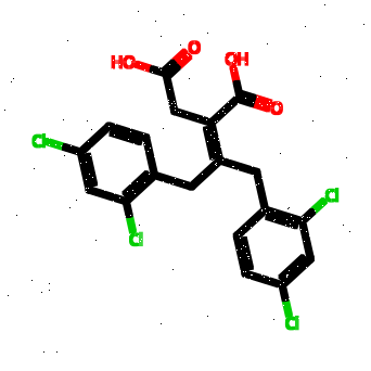 O=C(O)CC(C(=O)O)=C(Cc1ccc(Cl)cc1Cl)Cc1ccc(Cl)cc1Cl